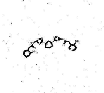 Nc1ccccc1CC(=O)Nc1nnc([C@H]2CCC[C@H](c3nnc(NC(=O)Cc4ccccc4N)s3)C2)s1